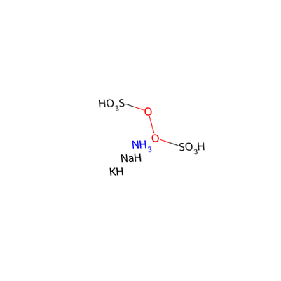 N.O=S(=O)(O)OOS(=O)(=O)O.[KH].[NaH]